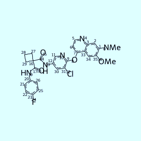 CNc1cc2nccc(Oc3ncc(NC(=O)C4(C(=O)Nc5ccc(F)cc5)CCC4)cc3Cl)c2cc1OC